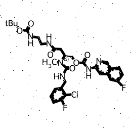 CN(C(=O)NCc1cccc(F)c1Cl)[C@H](COC(=O)Nc1cc2cc(F)ccc2cn1)CC(=O)NCCNC(=O)OC(C)(C)C